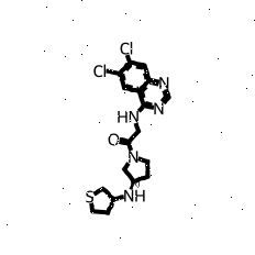 O=C(CNc1ncnc2cc(Cl)c(Cl)cc12)N1CC[C@@H](NC2CCSC2)C1